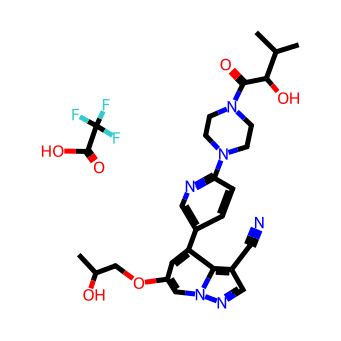 CC(O)COc1cc(-c2ccc(N3CCN(C(=O)C(O)C(C)C)CC3)nc2)c2c(C#N)cnn2c1.O=C(O)C(F)(F)F